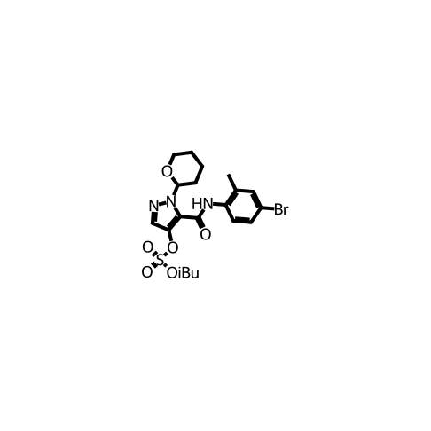 Cc1cc(Br)ccc1NC(=O)c1c(OS(=O)(=O)OCC(C)C)cnn1C1CCCCO1